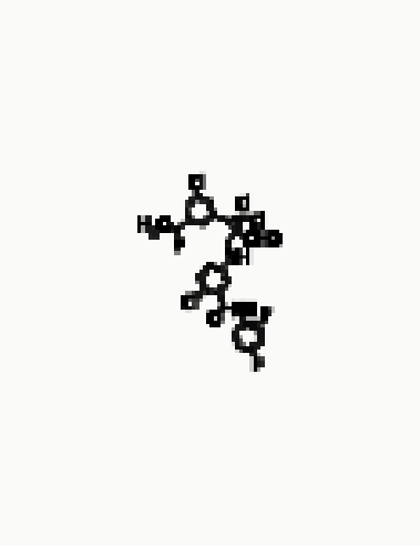 C=C(F)c1cc(Cl)cc(C2C(Cl)(Cl)C2(C=O)CNc2ccc(Cl)c(C(=O)Nc3ccc(F)cc3F)c2)c1